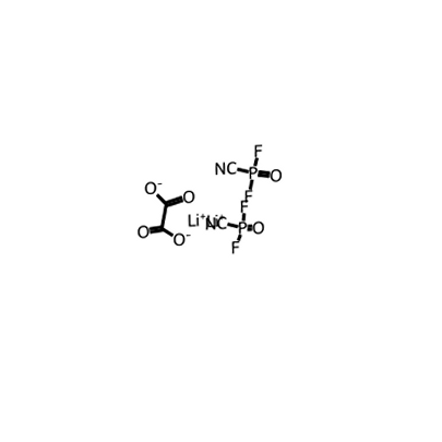 N#CP(=O)(F)F.N#CP(=O)(F)F.O=C([O-])C(=O)[O-].[Li+].[Li+]